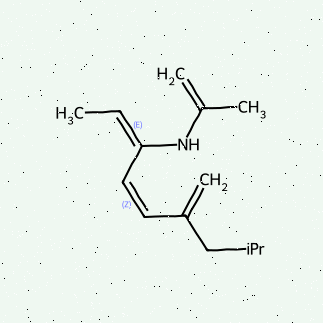 C=C(/C=C\C(=C/C)NC(=C)C)CC(C)C